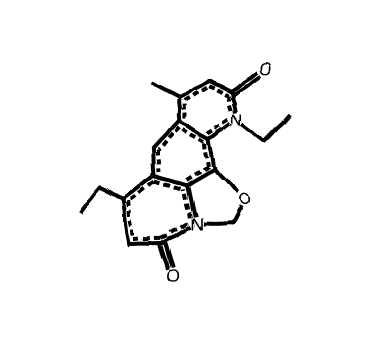 CCc1cc(=O)n2c3c(c4c(cc13)c(C)cc(=O)n4CC)OC2